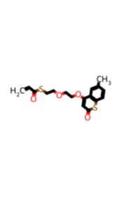 C=CC(=O)SCCOCCOc1cc(=O)sc2ccc(C)cc12